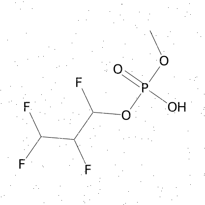 COP(=O)(O)OC(F)C(F)C(F)F